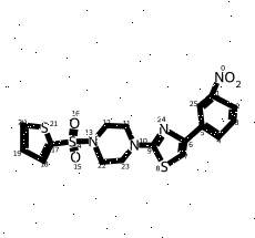 O=[N+]([O-])c1cccc(-c2csc(N3CCN(S(=O)(=O)c4cccs4)CC3)n2)c1